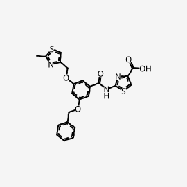 Cc1nc(COc2cc(OCc3ccccc3)cc(C(=O)Nc3nc(C(=O)O)cs3)c2)cs1